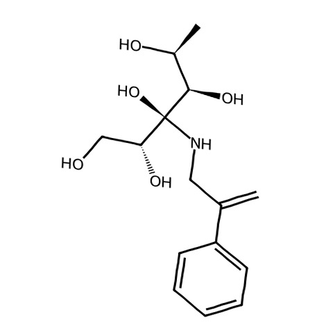 C=C(CN[C@](O)([C@H](O)CO)[C@H](O)[C@H](C)O)c1ccccc1